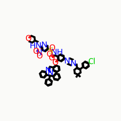 CC1(C)CCC(CN2CCN(c3ccc(C(=O)NS(=O)(=O)c4cnc(NCC5CCOCC5)c([N+](=O)[O-])c4)c(Oc4cccc5c4cnn5C(c4ccccc4)(c4ccccc4)c4ccccc4)c3)CC2)=C(c2ccc(Cl)cc2)C1